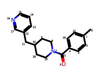 Cc1ccc(C(=O)N2CCC(Cc3cccnc3)CC2)cc1